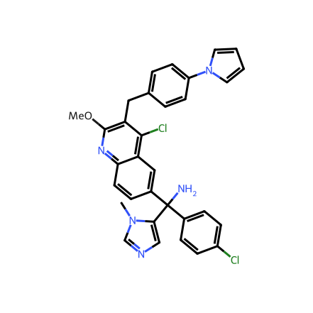 COc1nc2ccc(C(N)(c3ccc(Cl)cc3)c3cncn3C)cc2c(Cl)c1Cc1ccc(-n2cccc2)cc1